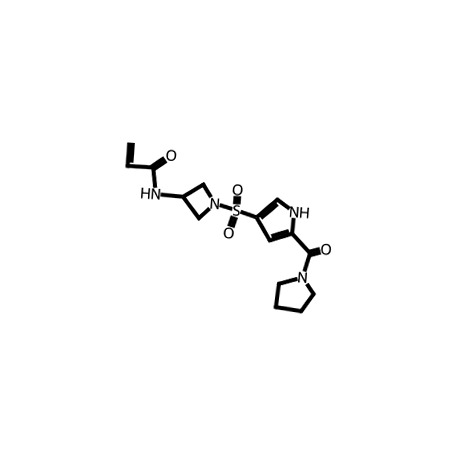 C=CC(=O)NC1CN(S(=O)(=O)c2c[nH]c(C(=O)N3CCCC3)c2)C1